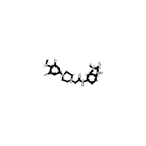 COc1c(F)cc(N2CCN(CC(=O)Nc3ccc4[nH]c(=O)n(C)c4c3)CC2)cc1F